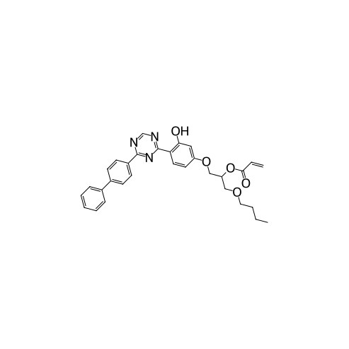 C=CC(=O)OC(COCCCC)COc1ccc(-c2ncnc(-c3ccc(-c4ccccc4)cc3)n2)c(O)c1